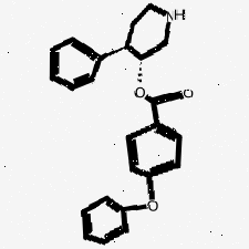 O=C(O[C@H]1CNCC[C@@H]1c1ccccc1)c1ccc(Oc2ccccc2)cc1